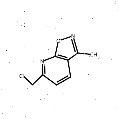 Cc1noc2nc(CCl)ccc12